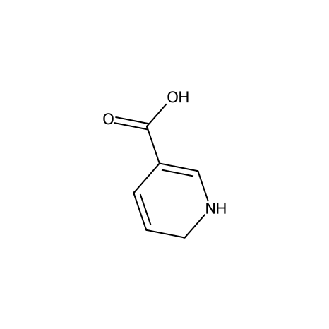 O=C(O)C1=CNCC=C1